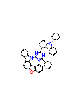 c1ccc(-c2nc(-c3cccc4c3c3ccccc3n4-c3ccccc3)nc(-n3c4ccccc4c4ccc5oc6ccccc6c5c43)n2)cc1